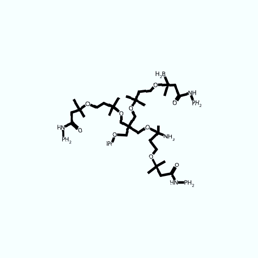 BC(C)(CC(=O)NP)OCCC(C)(C)OCC(COC(C)C)(COC(C)(C)CCOC(C)(C)CC(=O)NP)COC(C)(N)CCOC(C)(C)CC(=O)NP